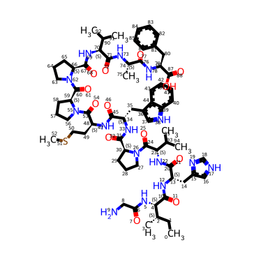 CC[C@H](C)[C@H](NC(=O)CN)C(=O)N[C@@H](Cc1c[nH]cn1)C(=O)N[C@H](C(=O)N1CCC[C@H]1C(=O)N[C@@H](Cc1c[nH]c2ccccc12)C(=O)N[C@@H](CCSC)C(=O)N1CCC[C@H]1C(=O)N1CCC[C@H]1C(=O)N[C@H](C(=O)N[C@@H](C)C(=O)N[C@@H](Cc1ccccc1)C(=O)O)C(C)C)C(C)C